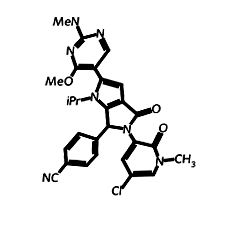 CNc1ncc(-c2cc3c(n2C(C)C)C(c2ccc(C#N)cc2)N(c2cc(Cl)cn(C)c2=O)C3=O)c(OC)n1